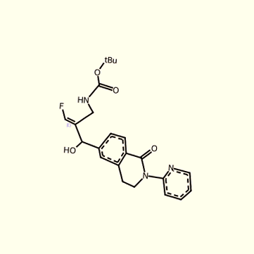 CC(C)(C)OC(=O)NC/C(=C\F)C(O)c1ccc2c(c1)CCN(c1ccccn1)C2=O